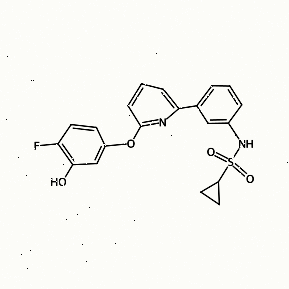 O=S(=O)(Nc1cccc(-c2cccc(Oc3ccc(F)c(O)c3)n2)c1)C1CC1